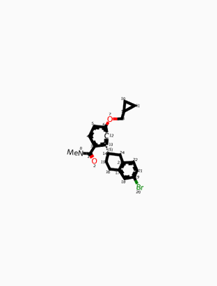 CNC(=O)c1ccc(OCC2CC2)cc1[C@H]1CCc2cc(Br)ccc2C1